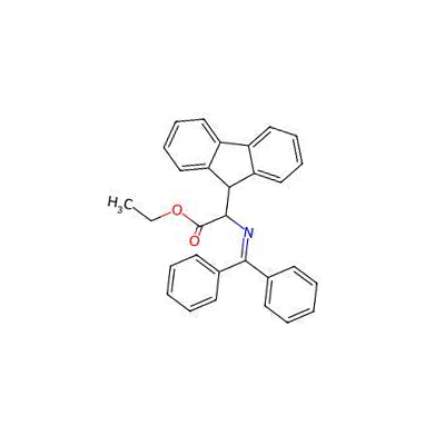 CCOC(=O)C(N=C(c1ccccc1)c1ccccc1)C1c2ccccc2-c2ccccc21